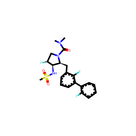 CN(C)C(=O)N1C[C@H](F)[C@H](NS(C)(=O)=O)[C@@H]1Cc1cccc(-c2ccccc2F)c1F